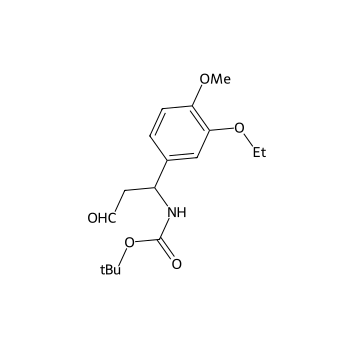 CCOc1cc(C(CC=O)NC(=O)OC(C)(C)C)ccc1OC